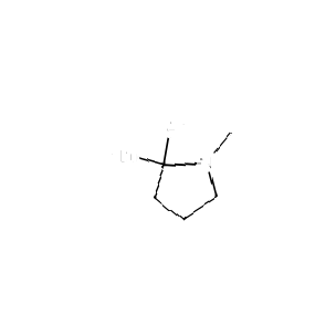 CCCCC1(C(C)=O)CCCN1C